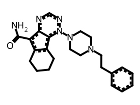 NC(=O)c1c2ncnn(N3CCN(CCc4ccccc4)CC3)c-2c2c1CCCC2